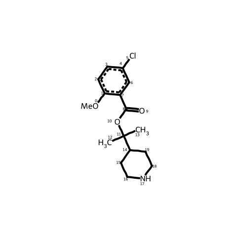 COc1ccc(Cl)cc1C(=O)OC(C)(C)C1CCNCC1